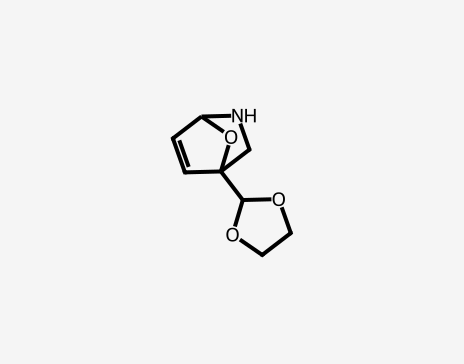 C1=CC2(C3OCCO3)CNC1O2